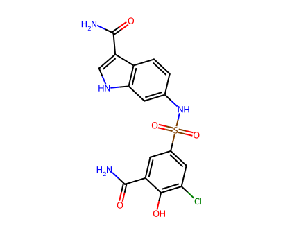 NC(=O)c1cc(S(=O)(=O)Nc2ccc3c(C(N)=O)c[nH]c3c2)cc(Cl)c1O